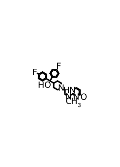 CN(CCN1CCC(C(O)(c2ccc(F)cc2)c2ccc(F)cc2)CC1)c1nc(=O)cc[nH]1